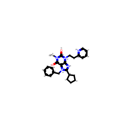 CCCn1c(=O)c2c(nc(C3CCCC3)n2Cc2ccccc2)n(CCc2ccccn2)c1=O